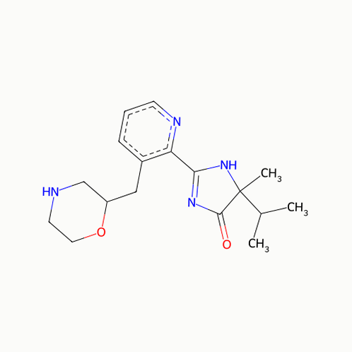 CC(C)C1(C)NC(c2ncccc2CC2CNCCO2)=NC1=O